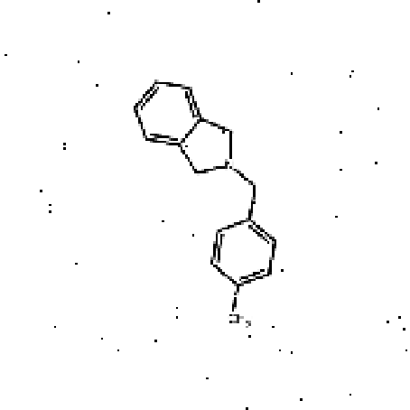 [CH2]c1ccc(CN2Cc3ccccc3C2)cc1